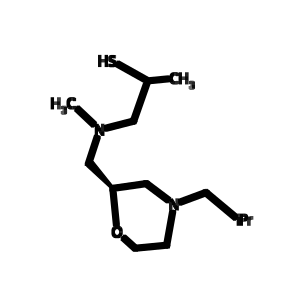 CC(C)CN1CCO[C@@H](CN(C)CC(C)S)C1